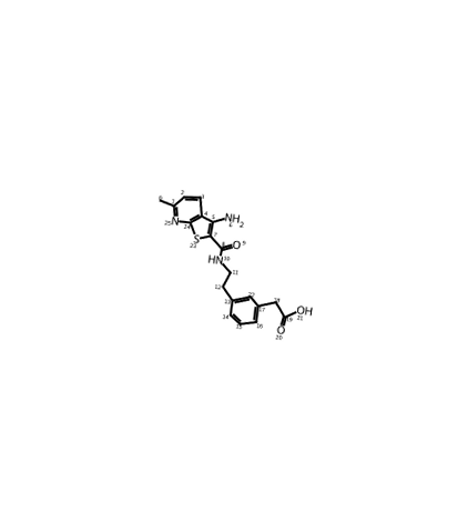 Cc1ccc2c(N)c(C(=O)NCCc3cccc(CC(=O)O)c3)sc2n1